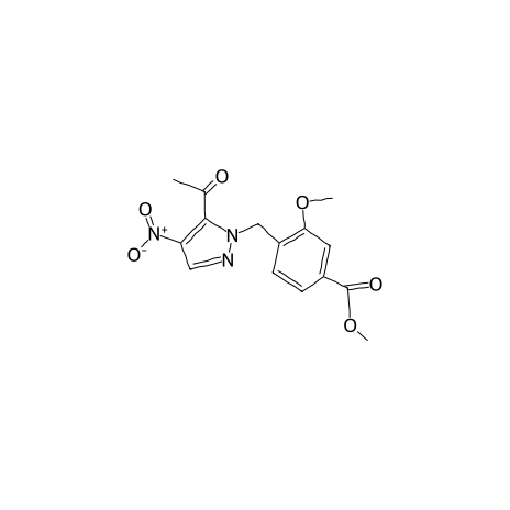 COC(=O)c1ccc(Cn2ncc([N+](=O)[O-])c2C(C)=O)c(OC)c1